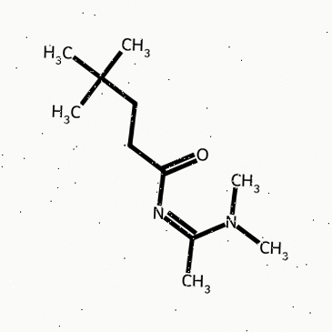 CC(=NC(=O)[CH]CC(C)(C)C)N(C)C